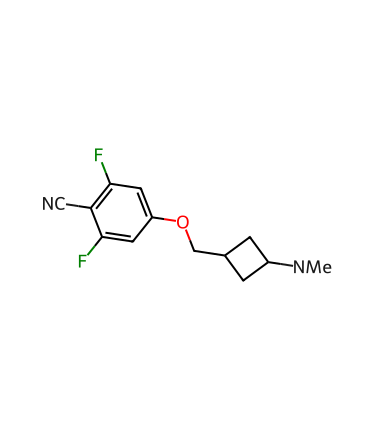 CNC1CC(COc2cc(F)c(C#N)c(F)c2)C1